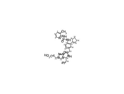 Cc1cccnc1NC(=O)Nc1ccc(CC(=O)NC(CC(C)C)N2CN(CCC(=O)O)N=N2)cc1C1CCCC1